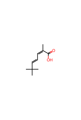 CC(=CC=CC(C)(C)C)C(=O)O